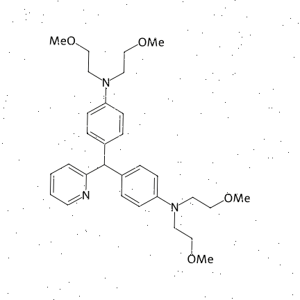 COCCN(CCOC)c1ccc(C(c2ccc(N(CCOC)CCOC)cc2)c2ccccn2)cc1